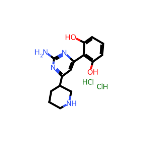 Cl.Cl.Nc1nc(-c2c(O)cccc2O)cc(C2CCCNC2)n1